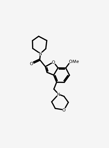 COc1ccc(CN2CCOCC2)c2cc(C(=O)N3CCCCC3)oc12